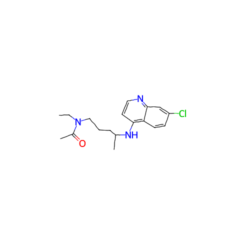 CCN(CCCC(C)Nc1ccnc2cc(Cl)ccc12)C(C)=O